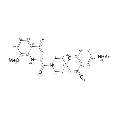 CCc1cc(C(=O)N2CCC3(CC2)CC(=O)c2cc(NC(C)=O)ccc2O3)nc2c(OC)cccc12